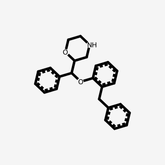 c1ccc(Cc2ccccc2OC(c2ccccc2)C2CNCCO2)cc1